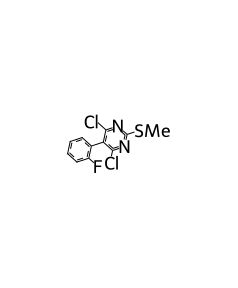 CSc1nc(Cl)c(-c2ccccc2F)c(Cl)n1